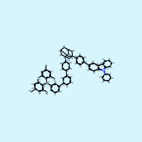 Cc1cc(C)c(B(c2cccc(-c3cccc(-c4ccc(C56CC7CC(C5)CC(c5ccc(-c8ccc9c(c8)c8ccccc8n9-c8ccccc8)cc5)(C7)C6)cc4)c3)c2)c2c(C)cc(C)cc2C)c(C)c1